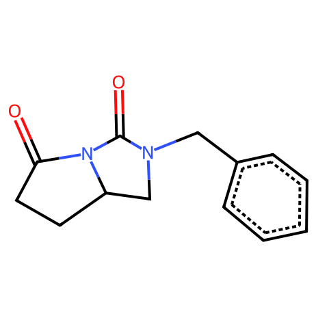 O=C1CCC2CN(Cc3ccccc3)C(=O)N12